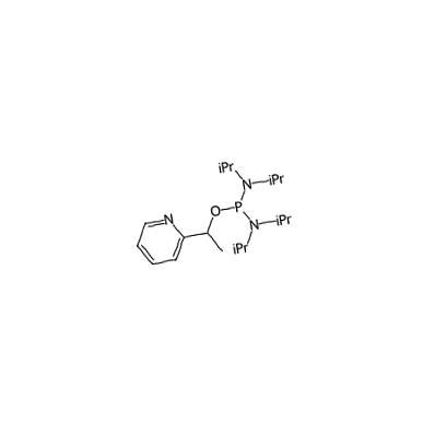 CC(OP(N(C(C)C)C(C)C)N(C(C)C)C(C)C)c1ccccn1